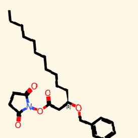 CCCCCCCCCCC[C@H](CC(=O)ON1C(=O)CCC1=O)OCc1ccccc1